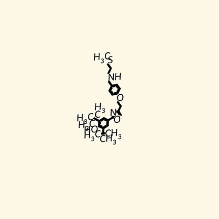 CSCCCNCc1ccc(OCCc2coc(-c3cc(C(C)(C)C)c(O)c(C(C)(C)C)c3)n2)cc1